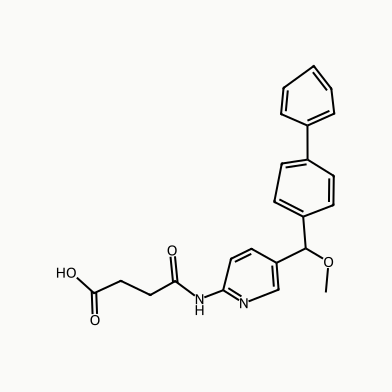 COC(c1ccc(-c2ccccc2)cc1)c1ccc(NC(=O)CCC(=O)O)nc1